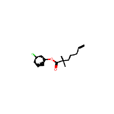 C=CCCCC(C)(C)C(=O)Oc1cccc(Cl)c1